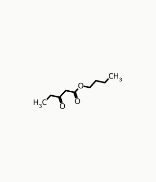 CCCCOC(=O)CC(=O)CC